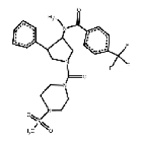 CN(C(=O)c1ccc(C(F)(F)F)cc1)C1CN(C(=O)N2CCN(S(C)(=O)=O)CC2)CC1c1ccccc1